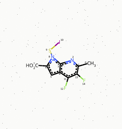 Cc1nc2c(cc(C(=O)O)n2SI)c(F)c1F